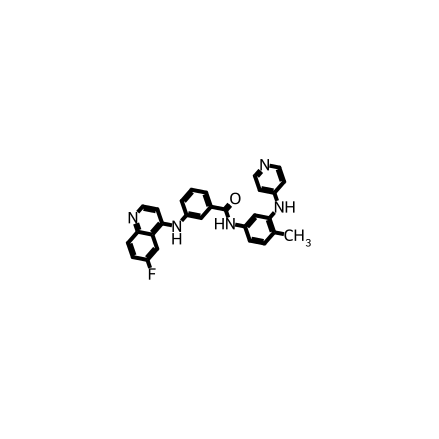 Cc1ccc(NC(=O)c2cccc(Nc3ccnc4ccc(F)cc34)c2)cc1Nc1ccncc1